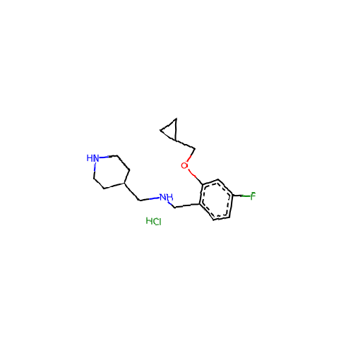 Cl.Fc1ccc(CNCC2CCNCC2)c(OCC2CC2)c1